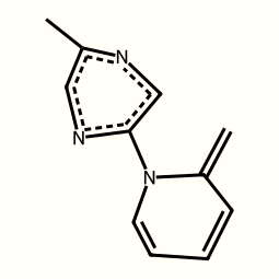 C=C1C=CC=CN1c1cnc(C)cn1